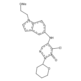 COCCn1ccc2cc(Nc3cnn(C4CCCCO4)c(=O)c3Cl)ccc21